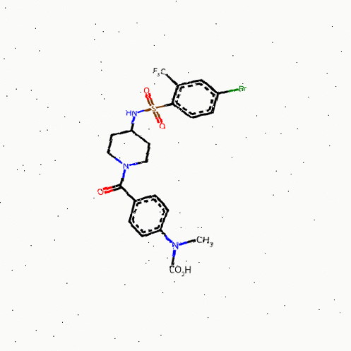 CN(C(=O)O)c1ccc(C(=O)N2CCC(NS(=O)(=O)c3ccc(Br)cc3C(F)(F)F)CC2)cc1